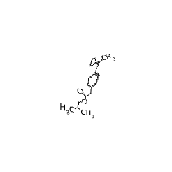 CC(=O)c1ccc(CC(=O)OCC(C)C)cc1